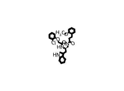 COc1ccccc1CCC(=O)NC[C@@H](Cc1c[nH]c2ccccc12)NC(=O)COc1ccccc1Cl